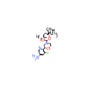 CC(C)(C)OC(=O)N1CCOC(c2ncc(N)cc2F)C1